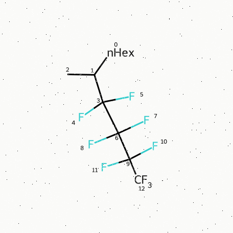 CCCCCCC(C)C(F)(F)C(F)(F)C(F)(F)C(F)(F)F